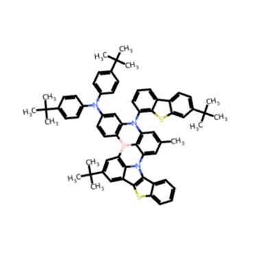 Cc1cc2c3c(c1)-n1c4c(cc(C(C)(C)C)cc4c4sc5ccccc5c41)B3c1ccc(N(c3ccc(C(C)(C)C)cc3)c3ccc(C(C)(C)C)cc3)cc1N2c1cccc2c1sc1cc(C(C)(C)C)ccc12